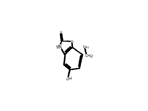 O=CO.O=c1[nH]c2cc(O)ccc2o1